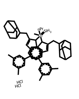 CC[CH2][Zr]([CH3])(=[SiH2])([CH]1C(CC2C3CC4CC(C3)CC2C4)=Cc2c(-c3cc(C)cc(C)c3)cccc21)[CH]1C(CC2C3CC4CC(C3)CC2C4)=Cc2c(-c3cc(C)cc(C)c3)cccc21.Cl.Cl